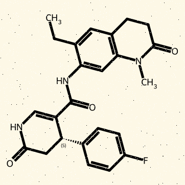 CCc1cc2c(cc1NC(=O)C1=CNC(=O)C[C@H]1c1ccc(F)cc1)N(C)C(=O)CC2